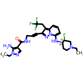 CCN1CC[C@@H](Nc2cccc3c(CC(F)(F)F)c(C#CCNC(=O)c4cnn(CC)c4N)nn23)[C@@H](F)C1